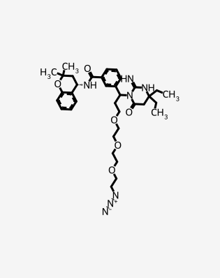 CCC1(CC)CC(=O)N(C(CCOCCOCCOCCN=[N+]=[N-])c2cccc(C(=O)N[C@H]3CC(C)(C)Oc4ccccc43)c2)C(=N)N1